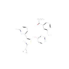 CNC(=O)c1cccc(Nc2cc(Oc3sc(C4CC4)nc3-c3cccc(C)n3)ccn2)c1